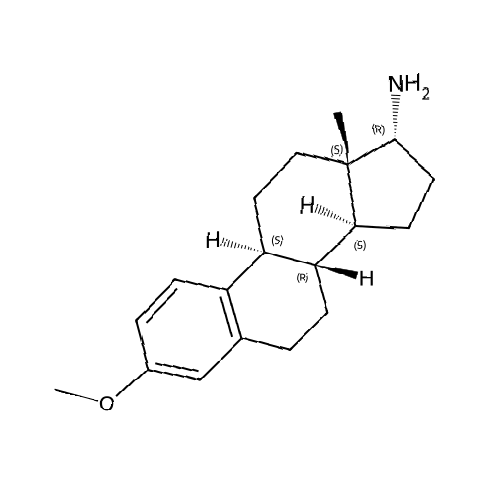 COc1ccc2c(c1)CC[C@@H]1[C@@H]2CC[C@]2(C)[C@H](N)CC[C@@H]12